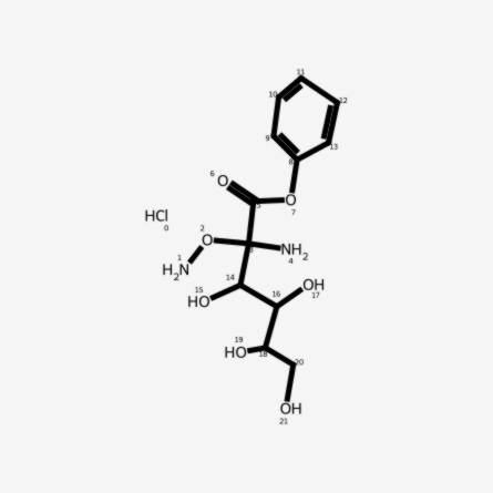 Cl.NOC(N)(C(=O)Oc1ccccc1)C(O)C(O)C(O)CO